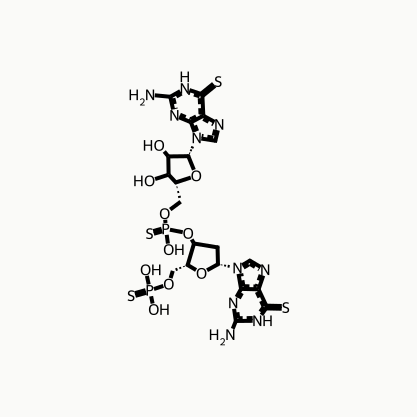 Nc1nc2c(ncn2[C@@H]2O[C@H](COP(O)(=S)OC3C[C@H](n4cnc5c(=S)[nH]c(N)nc54)O[C@@H]3COP(O)(O)=S)C(O)C2O)c(=S)[nH]1